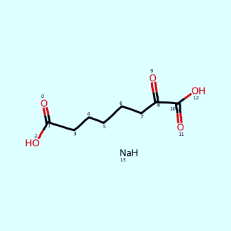 O=C(O)CCCCCC(=O)C(=O)O.[NaH]